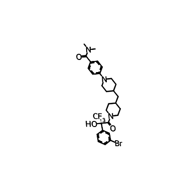 CN(C)C(=O)c1ccc(N2CCC(CC3CCN(C(=O)[C@](O)(c4cccc(Br)c4)C(F)(F)F)CC3)CC2)cc1